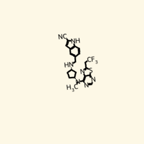 CN(c1ncnc2sc(CC(F)(F)F)nc12)[C@@H]1CC[C@H](NCc2ccc3[nH]c(C#N)cc3c2)C1